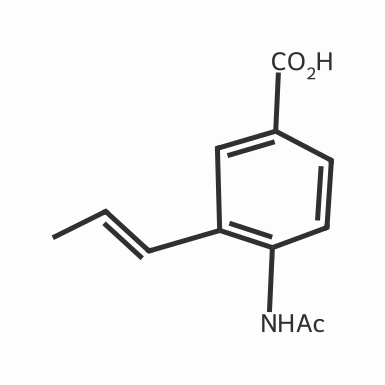 CC=Cc1cc(C(=O)O)ccc1NC(C)=O